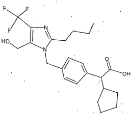 CCCCc1nc(C(F)(F)F)c(CO)n1Cc1ccc(C(C(=O)O)C2CCCC2)cc1